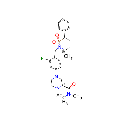 CC(=O)N1CCN(c2ccc(CN3[C@@H](C)CCC(c4ccccc4)S3(=O)=O)c(F)c2)C[C@H]1C(=O)N(C)C